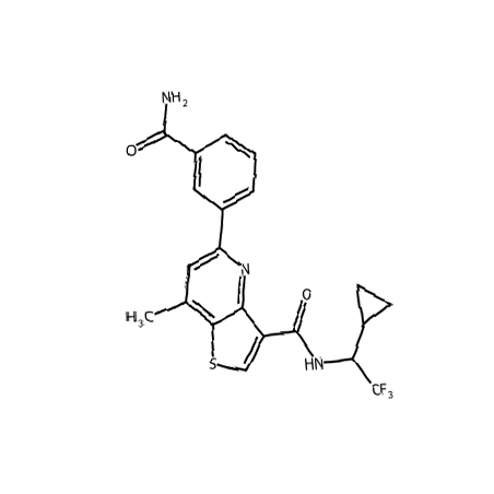 Cc1cc(-c2cccc(C(N)=O)c2)nc2c(C(=O)NC(C3CC3)C(F)(F)F)csc12